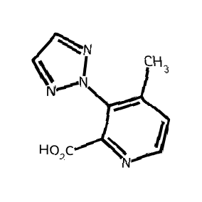 Cc1ccnc(C(=O)O)c1-n1nccn1